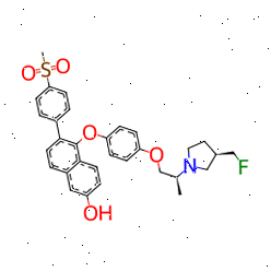 C[C@@H](COc1ccc(Oc2c(-c3ccc(S(C)(=O)=O)cc3)ccc3cc(O)ccc23)cc1)N1CC[C@@H](CF)C1